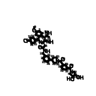 COc1ccc2c(c1)C(c1ccc(Cl)cc1)=N[C@@H](CC(=O)NCc1cccc(C3CCN(C(=O)c4cccc(C(=O)N5C[C@@H](O)[C@@H](O)C5)c4)CC3)c1)C(=N)N2C(C)=N